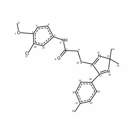 COc1ccc(NC(=O)CSC2=NC(C)(C)N=C2c2ccc(C)cc2)cc1Cl